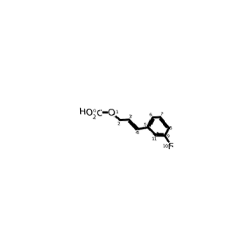 O=C(O)OCC=Cc1cccc(F)c1